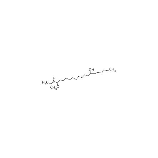 CCCCCCC(O)CCCCCCCCCCC(=O)NC(C)C